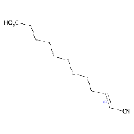 N#C/C=C/CCCCCCCCC(=O)O